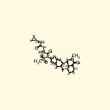 Cn1cc(-c2cc3nc(C(C(=O)NCC(=O)NC4CC4)S(C)(=O)=O)sc3cc2F)c2ccccc2c1=O